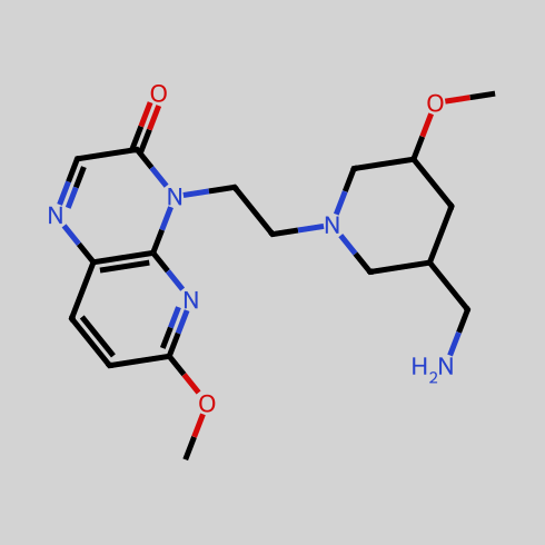 COc1ccc2ncc(=O)n(CCN3CC(CN)CC(OC)C3)c2n1